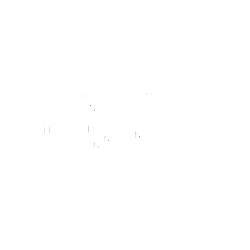 CCOC(=O)c1nc2ccnn2c2c1CCN2C(C)(C)CC